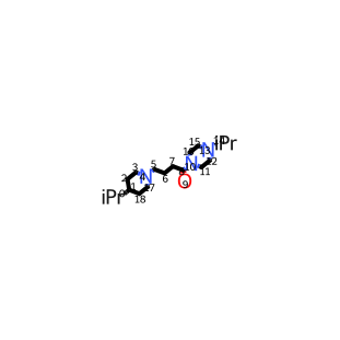 CC(C)C1CCN(CCCC(=O)N2CCN(C(C)C)CC2)CC1